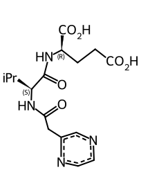 CC(C)[C@H](NC(=O)Cc1cnccn1)C(=O)N[C@H](CCC(=O)O)C(=O)O